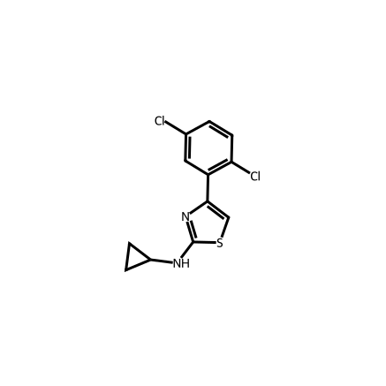 Clc1ccc(Cl)c(-c2csc(NC3CC3)n2)c1